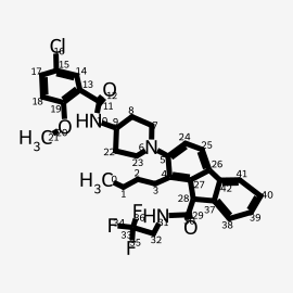 CCCCc1c(N2CCC(NC(=O)c3cc(Cl)ccc3OC)CC2)ccc2c1C(C(=O)NCC(F)(F)F)c1ccccc1-2